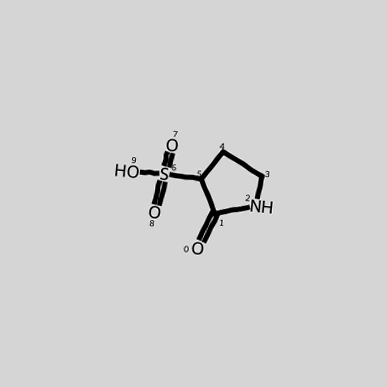 O=C1NCCC1S(=O)(=O)O